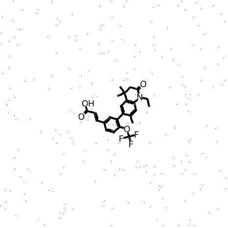 CCN1C(=O)CC(C)(C)c2cc(-c3cc(C=CC(=O)O)ccc3OC(F)(F)F)c(C)cc21